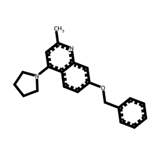 Cc1cc(N2CCCC2)c2ccc(OCc3ccccc3)cc2n1